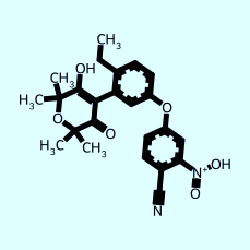 CCc1ccc(Oc2ccc(C#N)c([N+](=O)O)c2)cc1C1=C(O)C(C)(C)OC(C)(C)C1=O